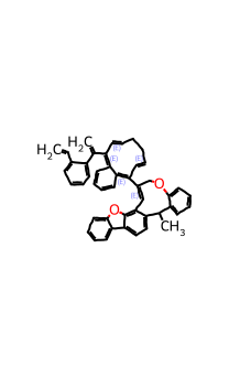 C=Cc1ccccc1C(=C)C1=c2/cccc/c2=C(\C2=C/c3c(ccc4c3oc3ccccc34)C(C)c3ccccc3OC2)/C=C/CC/C=C/1